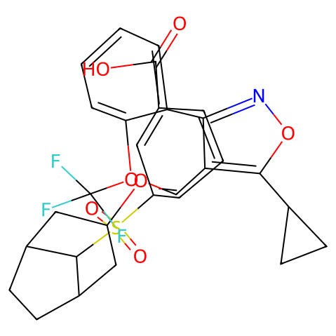 O=C(O)c1cccc(S(=O)(=O)C2C3CCC2CC(OCc2c(-c4ccccc4OC(F)(F)F)noc2C2CC2)C3)c1